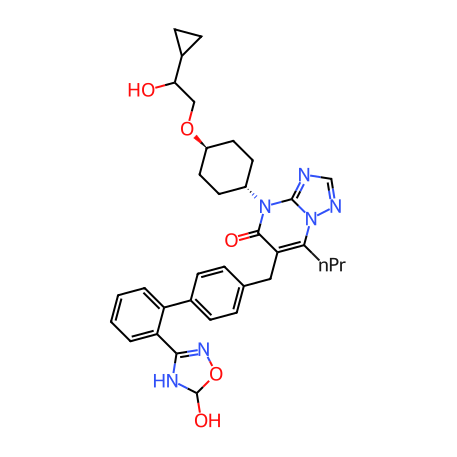 CCCc1c(Cc2ccc(-c3ccccc3C3=NOC(O)N3)cc2)c(=O)n([C@H]2CC[C@H](OCC(O)C3CC3)CC2)c2ncnn12